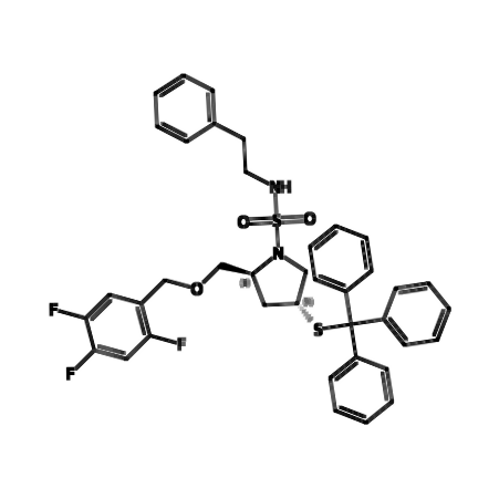 O=S(=O)(NCCc1ccccc1)N1C[C@H](SC(c2ccccc2)(c2ccccc2)c2ccccc2)C[C@H]1COCc1cc(F)c(F)cc1F